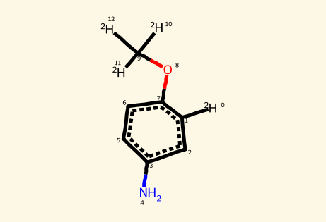 [2H]c1cc(N)ccc1OC([2H])([2H])[2H]